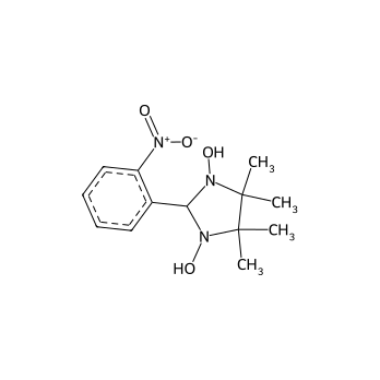 CC1(C)N(O)C(c2ccccc2[N+](=O)[O-])N(O)C1(C)C